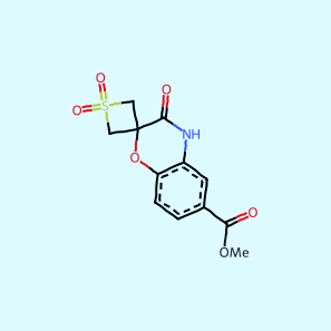 COC(=O)c1ccc2c(c1)NC(=O)C1(CS(=O)(=O)C1)O2